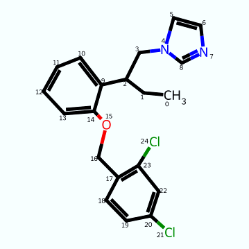 CCC(Cn1ccnc1)c1ccccc1OCc1ccc(Cl)cc1Cl